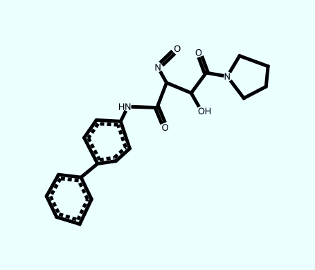 O=NC(C(=O)Nc1ccc(-c2ccccc2)cc1)C(O)C(=O)N1CCCC1